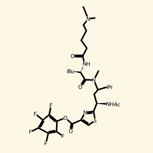 CC[C@H](C)[C@H](NC(=O)CCCCN(C)C)C(=O)N(C)C(C[C@@H](NC(C)=O)c1nc(C(=O)Oc2c(F)c(F)c(F)c(F)c2F)cs1)C(C)C